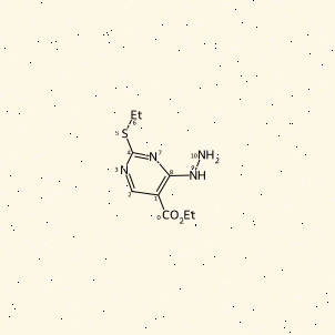 CCOC(=O)c1cnc(SCC)nc1NN